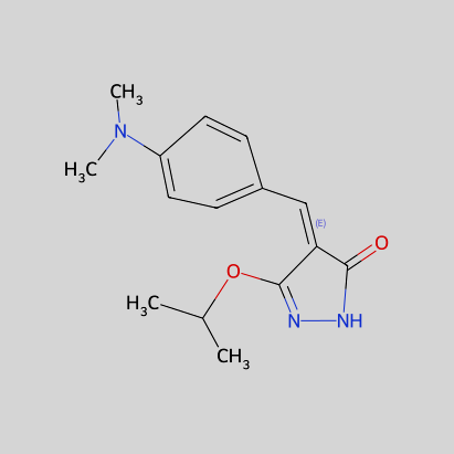 CC(C)OC1=NNC(=O)/C1=C/c1ccc(N(C)C)cc1